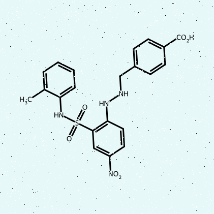 Cc1ccccc1NS(=O)(=O)c1cc([N+](=O)[O-])ccc1NNCc1ccc(C(=O)O)cc1